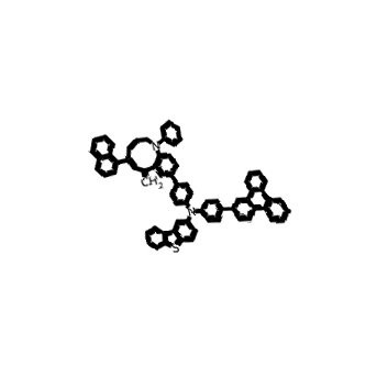 C=C1/C=C(c2cccc3ccccc23)\C=C/CN(c2ccccc2)c2ccc(-c3ccc(N(c4ccc(-c5ccc6c7ccccc7c7ccccc7c6c5)cc4)c4ccc5sc6ccccc6c5c4)cc3)cc21